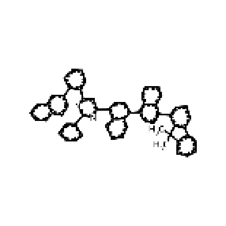 CC1(C)c2ccccc2-c2cccc(-c3ccc(-c4ccc(-c5cc(-c6ccccc6-c6ccc7ccccc7c6)nc(-c6ccccc6)n5)c5ccccc45)c4ccccc34)c21